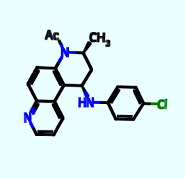 CC(=O)N1c2ccc3ncccc3c2[C@H](Nc2ccc(Cl)cc2)C[C@@H]1C